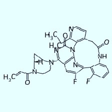 C=CC(=O)N1CCN(c2nc(=O)n3c4nc(c(F)cc24)-c2c(F)cccc2NC(=O)Cc2ccnc(C(C)C)c2-3)C2C[C@H]21